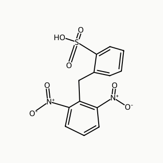 O=[N+]([O-])c1cccc([N+](=O)[O-])c1Cc1ccccc1S(=O)(=O)O